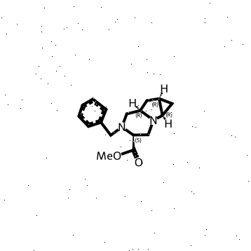 COC(=O)[C@@H]1CN2[C@H](C[C@H]3C[C@H]32)CN1Cc1ccccc1